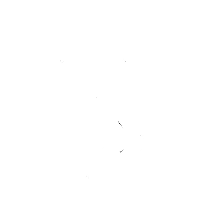 COc1ccc2nccc(C(O)CC[C@@H]3[C@H](OC(=O)C4CCCNC4)CN3C3CCOCC3)c2c1